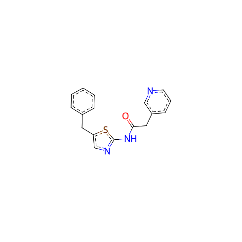 O=C(Cc1cccnc1)Nc1ncc(Cc2ccccc2)s1